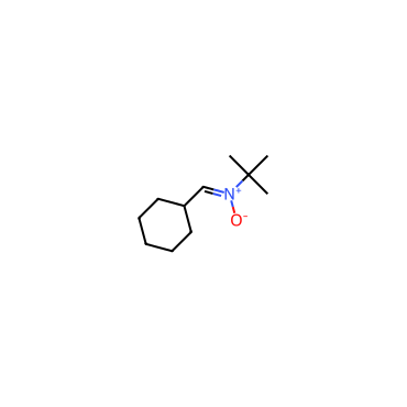 CC(C)(C)[N+]([O-])=CC1CCCCC1